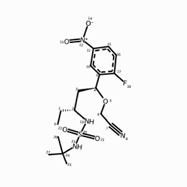 CC[C@H](C[C@H](OCC#N)c1cc([N+](=O)[O-])ccc1F)NS(=O)(=O)NC(C)(C)C